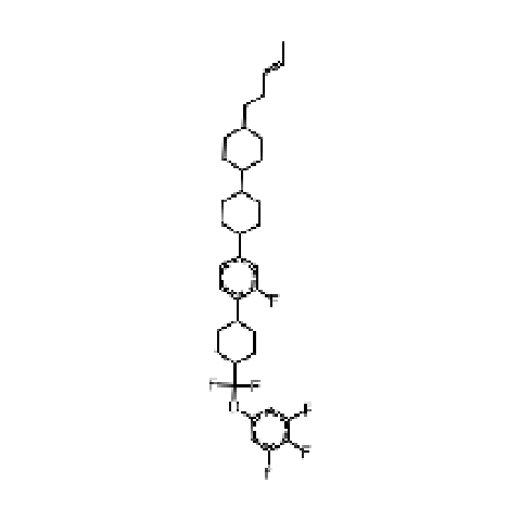 C/C=C/CCC1CCC(C2CCC(c3ccc(C4CCC(C(F)(F)Oc5cc(F)c(F)c(F)c5)CC4)c(F)c3)CC2)CC1